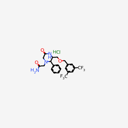 Cl.NC(=O)CN1CC(=O)NC(COCc2cc(C(F)(F)F)cc(C(F)(F)F)c2)C1c1ccccc1